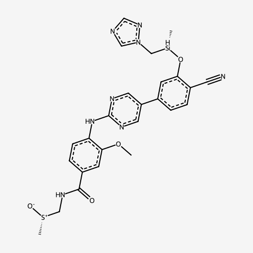 COc1cc(C(=O)NC[S@+](C)[O-])ccc1Nc1ncc(-c2ccc(C#N)c(O[Si@@H](C)Cn3cncn3)c2)cn1